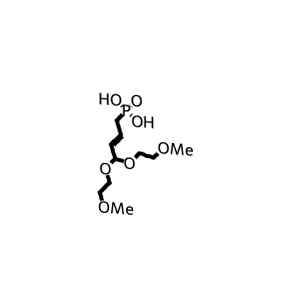 COCCOC(C=CCP(=O)(O)O)OCCOC